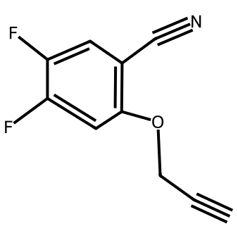 C#CCOc1cc(F)c(F)cc1C#N